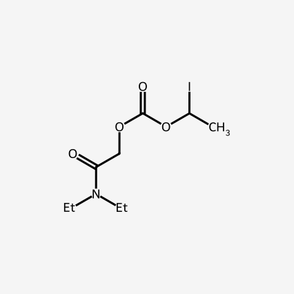 CCN(CC)C(=O)COC(=O)OC(C)I